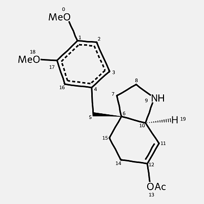 COc1ccc(C[C@@]23CCN[C@H]2C=C(OC(C)=O)CC3)cc1OC